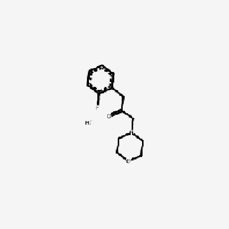 Cl.O=C(Cc1ccccc1F)CN1CCOCC1